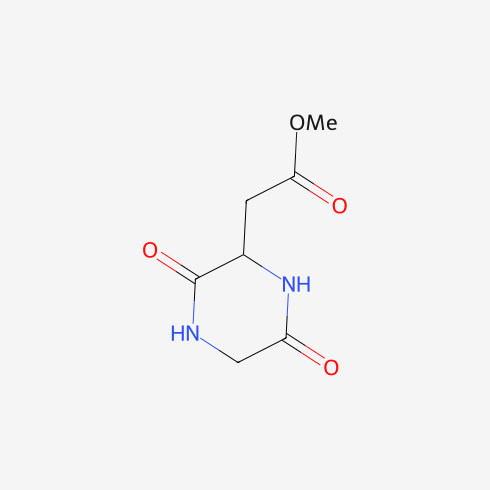 COC(=O)CC1NC(=O)CNC1=O